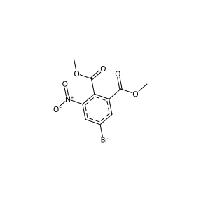 COC(=O)c1cc(Br)cc([N+](=O)[O-])c1C(=O)OC